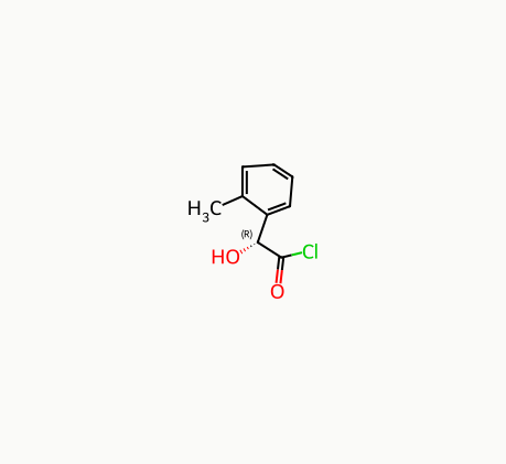 Cc1ccccc1[C@@H](O)C(=O)Cl